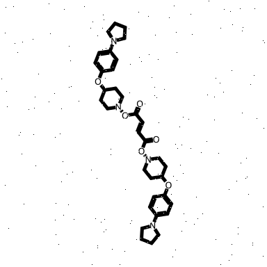 O=C(/C=C/C(=O)ON1CCC(Oc2ccc(N3CCCC3)cc2)CC1)ON1CCC(Oc2ccc(N3CCCC3)cc2)CC1